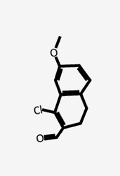 COc1ccc2c(c1)C(Cl)=C(C=O)CC2